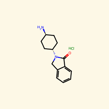 Cl.N[C@H]1CC[C@H](N2Cc3ccccc3C2=O)CC1